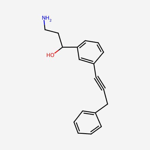 NCCC(O)c1cccc(C#CCc2ccccc2)c1